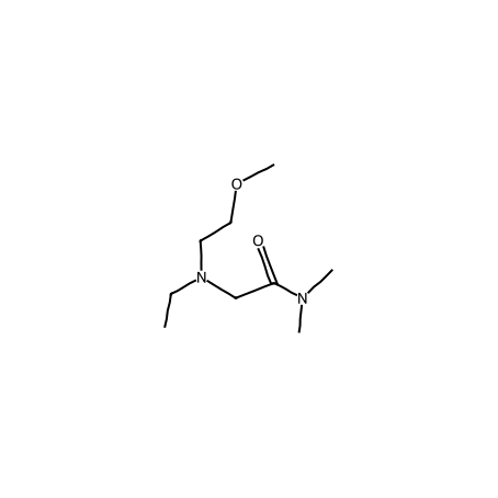 CCN(CCOC)CC(=O)N(C)C